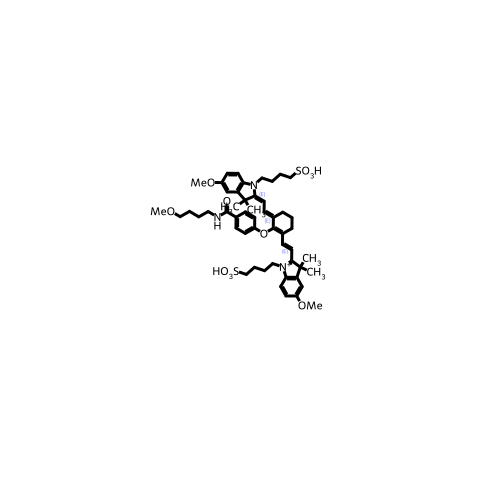 COCCCCNC(=O)c1ccc(OC2=C(/C=C/C3=[N+](CCCCS(=O)(=O)O)c4ccc(OC)cc4C3(C)C)CCC/C2=C\C=C2\N(CCCCS(=O)(=O)O)c3ccc(OC)cc3C2(C)C)cc1